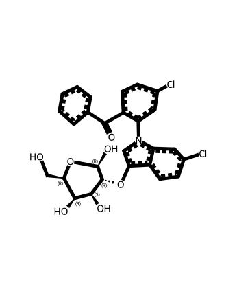 O=C(c1ccccc1)c1ccc(Cl)cc1-n1cc(O[C@@H]2[C@@H](O)[C@@H](O)[C@@H](CO)O[C@H]2O)c2ccc(Cl)cc21